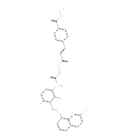 CNC(=O)c1ccc(C=CC(=O)NCC(=O)N(C)c2ccc(C)c(COc3cccc4ccc(C)nc34)c2C)cc1